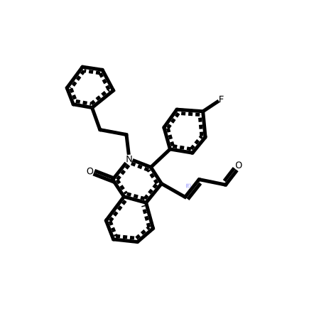 O=C/C=C/c1c(-c2ccc(F)cc2)n(CCc2ccccc2)c(=O)c2ccccc12